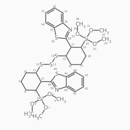 CO[Si](OC)(OC)C1CCCC(SSSC2CCCC([Si](OC)(OC)OC)C2c2nc3ccccc3s2)C1c1nc2ccccc2s1